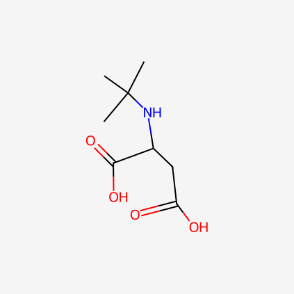 CC(C)(C)NC(CC(=O)O)C(=O)O